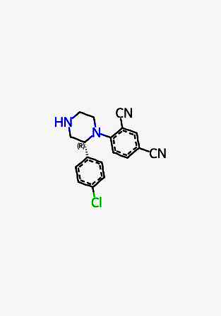 N#Cc1ccc(N2CCNC[C@H]2c2ccc(Cl)cc2)c(C#N)c1